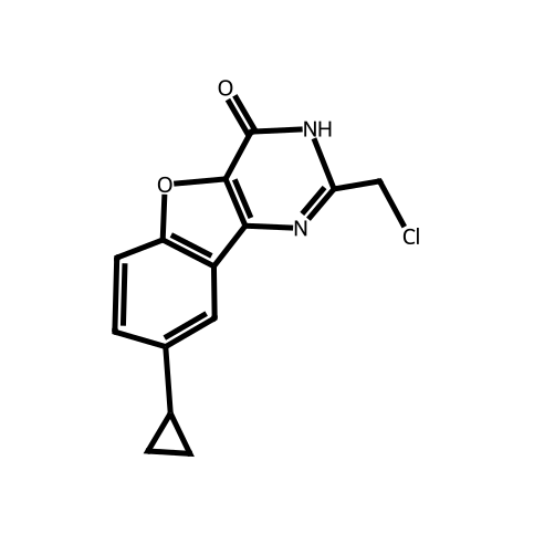 O=c1[nH]c(CCl)nc2c1oc1ccc(C3CC3)cc12